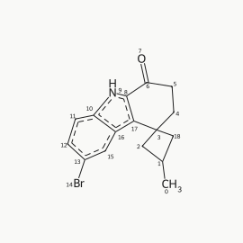 CC1CC2(CCC(=O)c3[nH]c4ccc(Br)cc4c32)C1